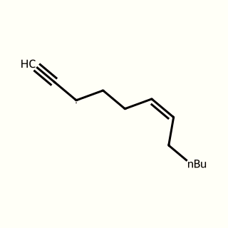 C#C[CH]CC/C=C\CCCCC